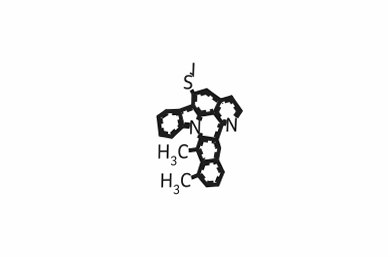 Cc1cccc2cc3c4nccc5cc(SI)c6c7ccccc7n(c3c(C)c12)c6c54